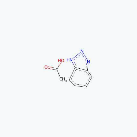 CC(=O)O.c1ccc2[nH]nnc2c1